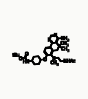 CC(=O)NCCN(C)c1c(O[C@H]2CC[C@H](NC(=O)OC(C)(C)C)CC2)ccc2c1CC(C)(C)c1c(N)ncnc1-2